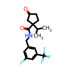 CC(C)C1(C(=O)NCc2cc(F)cc(C(F)(F)F)c2)CCC(=O)C1